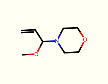 C=CC(OC)N1CCOCC1